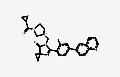 O=C(C1CC1)N1CC[C@@H](CN2C(=O)C3(CC3)N=C2c2ccc(-c3ccc4ncccc4c3)cc2F)C1